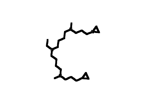 CCN(CCCCN(C)CCCC1CC1)CCCCN(C)CCCN1CC1